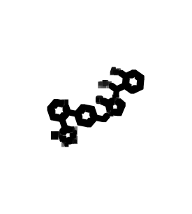 CCCC(c1ccccc1C(C)=O)n1ccn(Cc2ccc(-c3ncccc3-c3nnn[nH]3)cc2)c1=O